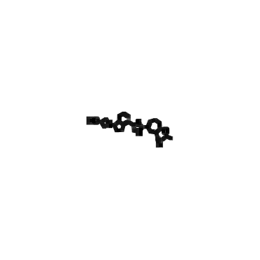 CC(C)OC1=CCC=C(c2ncc(-c3cccc4c3CCC4N3CC(O)C3)s2)C=C1C#N